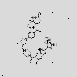 C[C@@]12Cc3[nH]nc(-c4cc5cc(F)c(C(=O)N6CCN(C[C@H]7CCN(c8ccc9c(c8)C(=O)N(C8CCC(=O)NC8=O)C9=O)C7)CC6)cc5[nH]4)c3C(C1)C2(F)F